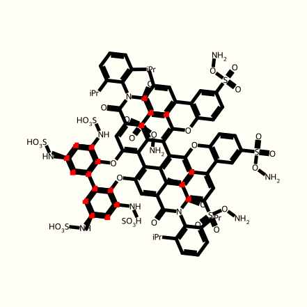 Cc1cc(NS(=O)(=O)O)cc(-c2cc(NS(=O)(=O)O)ccc2Oc2cc3c4c(cc(Oc5ccc(S(=O)(=O)ON)cc5-c5cc(C)cc(S(=O)(=O)ON)c5)c5c6c(Oc7ccc(S(=O)(=O)ON)cc7-c7cc(C)cc(S(=O)(=O)ON)c7)cc7c8c(cc(Oc9ccc(NS(=O)(=O)O)cc9-c9cc(C)cc(NS(=O)(=O)O)c9)c(c2c45)c86)C(=O)N(c2c(C(C)C)cccc2C(C)C)C7=O)C(=O)N(c2c(C(C)C)cccc2C(C)C)C3=O)c1